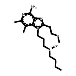 CCCC[S+]([O-])CCCn1c(CCOC)nc2c(N)nc(C)c(C)c21